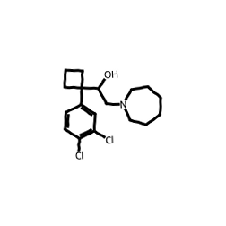 OC(CN1CCCCCC1)C1(c2ccc(Cl)c(Cl)c2)CCC1